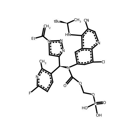 C=C(CC)n1cc([C@H](c2ccc(F)nc2C)N(C(=O)OCOP(=O)(O)O)c2cc(Cl)c3ncc(C#N)c(N[C@H](C)C(C)(C)C)c3c2)nn1